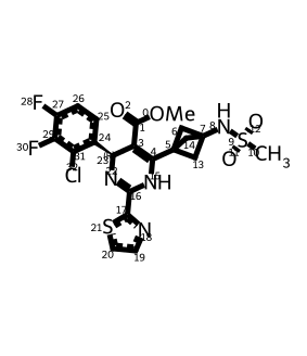 COC(=O)C1=C(C23CC(NS(C)(=O)=O)(C2)C3)NC(c2nccs2)=N[C@H]1c1ccc(F)c(F)c1Cl